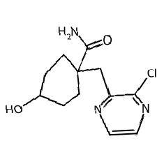 NC(=O)C1(Cc2nccnc2Cl)CCC(O)CC1